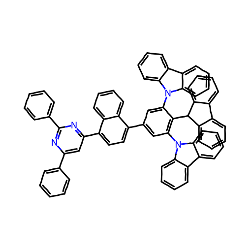 c1ccc(-c2cc(-c3ccc(-c4cc(-n5c6ccccc6c6ccccc65)c(C5c6ccccc6-c6ccccc65)c(-n5c6ccccc6c6ccccc65)c4)c4ccccc34)nc(-c3ccccc3)n2)cc1